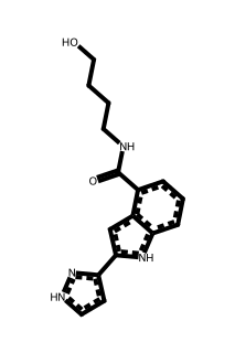 O=C(NCCCCO)c1cccc2[nH]c(-c3cc[nH]n3)cc12